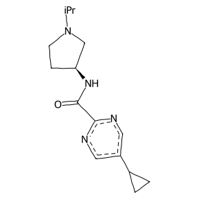 CC(C)N1CC[C@H](NC(=O)c2ncc(C3CC3)cn2)C1